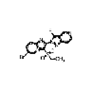 CCS(=O)(=O)c1c(-n2nc3ccncc3c2F)nc2ccc(Br)cn12